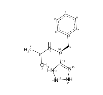 CC(C)N[C@@H](Cc1ccccc1)C1=NNNN1